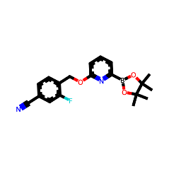 CC1(C)OB(c2cccc(OCc3ccc(C#N)cc3F)n2)OC1(C)C